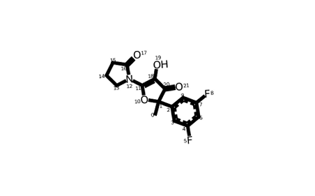 CC1(c2cc(F)cc(F)c2)OC(N2CCCC2=O)=C(O)C1=O